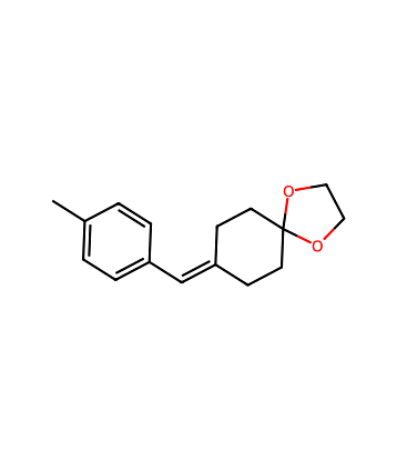 Cc1ccc(C=C2CCC3(CC2)OCCO3)cc1